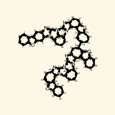 c1ccc2c(c1)oc1cc3c(cc12)nc1n3c2cccc3c2n1c1nc2ccc4oc5ccc(-c6cc7nc8n(c9cccc%10c9n8c8nc9ccc%11oc%12ccccc%12c%11c9n%108)c7c7c6oc6ccccc67)cc5c4c2n31